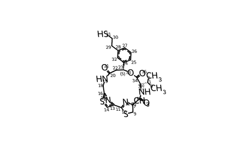 CC(C)[C@@H]1NC(=O)[C@]2(C)CSC(=N2)c2csc(n2)CNC(=O)C[C@@H](c2cccc(CCS)c2)OC1=O